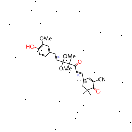 COc1cc(/C=C/C(OC)(OC)C(C)(C)C(=O)/C=C/[C@@]2(C)C=C(C#N)C(=O)C(C)(C)C2)ccc1O